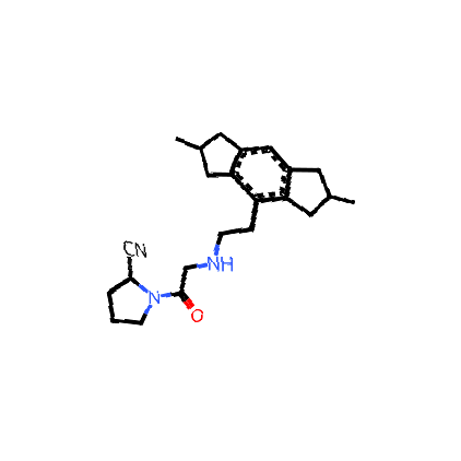 CC1Cc2cc3c(c(CCNCC(=O)N4CCCC4C#N)c2C1)CC(C)C3